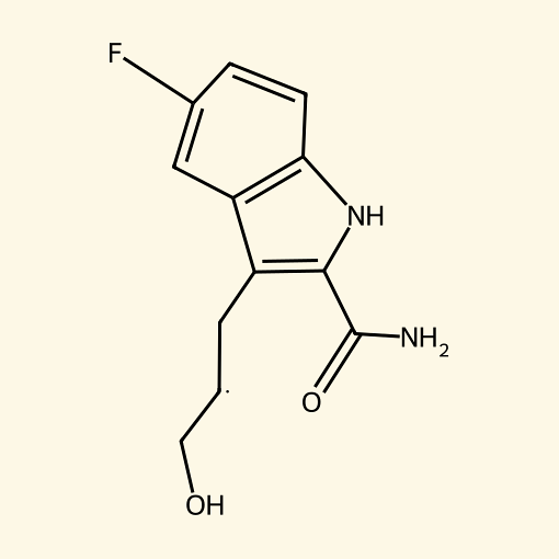 NC(=O)c1[nH]c2ccc(F)cc2c1C[CH]CO